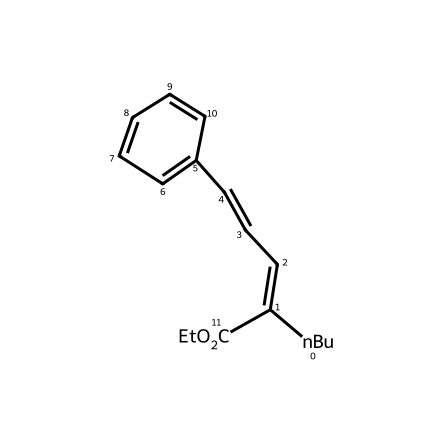 CCCCC(=CC=Cc1ccccc1)C(=O)OCC